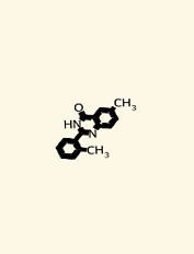 Cc1ccc2nc(-c3ccccc3C)[nH]c(=O)c2c1